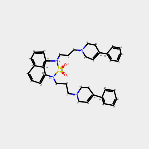 O=S1(=O)N(CCCN2CC=C(c3ccccc3)CC2)c2cccc3cccc(c23)N1CCCN1CC=C(c2ccccc2)CC1